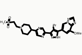 COc1cc(-c2[nH]nc(-c3cnc(C4CCN(CCS(C)(=O)=O)CC4)cn3)c2C(C)C)cn2ncnc12